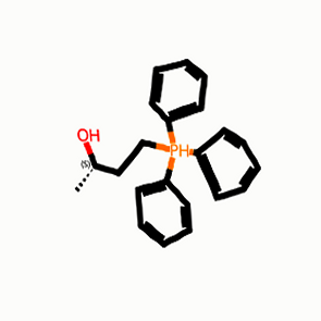 C[C@H](O)CC[PH](c1ccccc1)(c1ccccc1)c1ccccc1